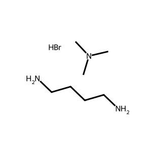 Br.CN(C)C.NCCCCN